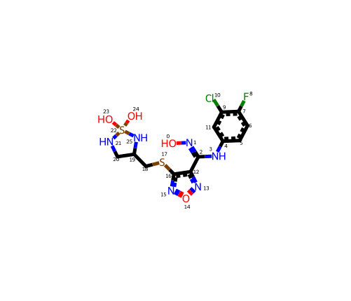 ON=C(Nc1ccc(F)c(Cl)c1)c1nonc1SCC1CNS(O)(O)N1